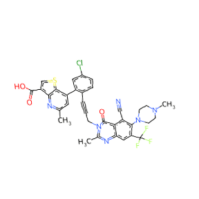 Cc1cc(-c2cc(Cl)ccc2C#CCn2c(C)nc3cc(C(F)(F)F)c(N4CCN(C)CC4)c(C#N)c3c2=O)c2scc(C(=O)O)c2n1